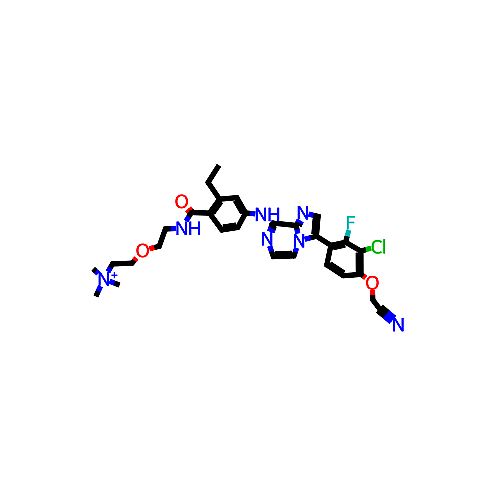 CCc1cc(Nc2nccn3c(-c4ccc(OCC#N)c(Cl)c4F)cnc23)ccc1C(=O)NCCOCC[N+](C)(C)C